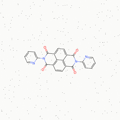 O=C1c2ccc3c4c(ccc(c24)C(=O)N1c1ccccn1)C(=O)N(c1ccccn1)C3=O